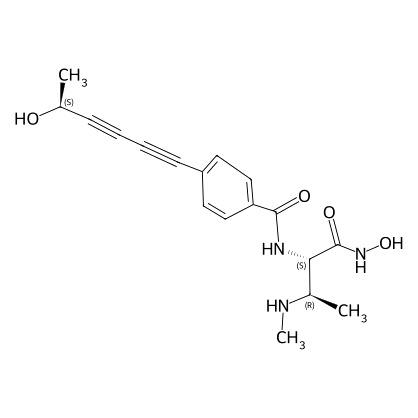 CN[C@H](C)[C@H](NC(=O)c1ccc(C#CC#C[C@H](C)O)cc1)C(=O)NO